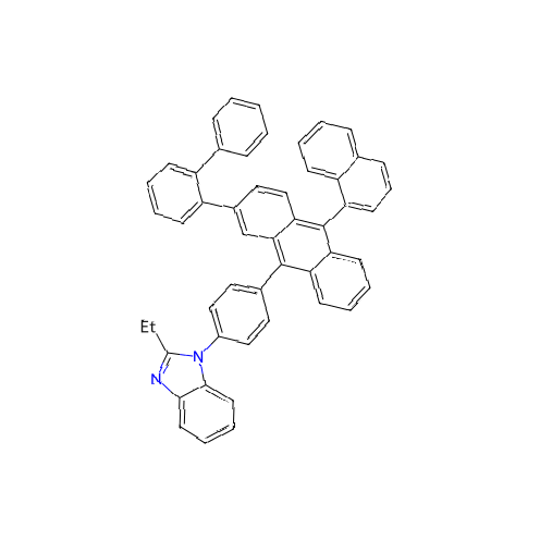 CCc1nc2ccccc2n1-c1ccc(-c2c3ccccc3c(-c3cccc4ccccc34)c3ccc(-c4ccccc4-c4ccccc4)cc23)cc1